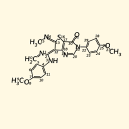 C=N/C(Nc1ccc(OC)cc1)=C1\C(=N/C)Sc2c1ncn(-c1ccc(OC)cc1)c2=O